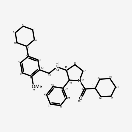 COc1ccc(C2CCCCC2)cc1CNC1CCN(C(=O)C2CCCCC2)C1c1ccccc1